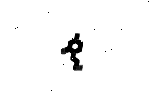 CN1CCN(CCO)C(=O)C1